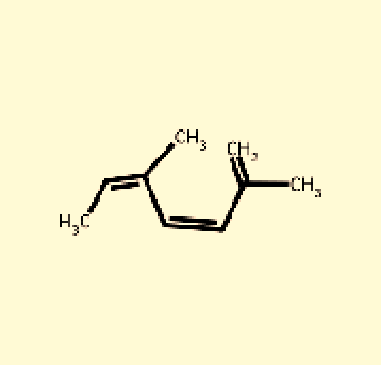 C=C(C)/C=C\C(C)=C/C